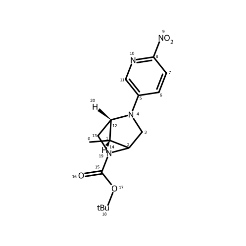 C[C@H]1C2CN(c3ccc([N+](=O)[O-])nc3)[C@H]1CN2C(=O)OC(C)(C)C